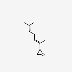 CC(C)=CCC=C(C)C1CO1